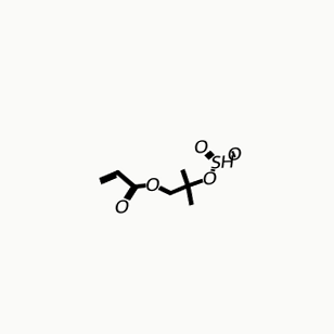 C=CC(=O)OCC(C)(C)O[SH](=O)=O